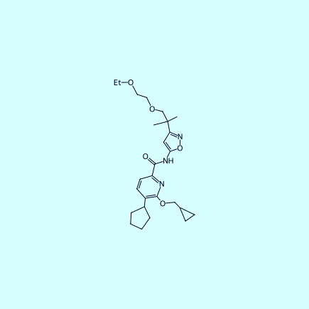 CCOCCOCC(C)(C)c1cc(NC(=O)c2ccc(C3CCCC3)c(OCC3CC3)n2)on1